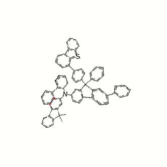 CC1(C)c2ccccc2-c2ccc(N(c3ccc4c(c3)C(c3ccccc3)(c3ccc(-c5cccc6c5sc5ccccc56)cc3)c3cc(-c5ccccc5)ccc3-4)c3ccccc3-c3ccccc3)cc21